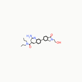 CCCN(CCC)C(=O)C1=Cc2ccc(-c3ccc4c(c3)CN(CCO)C4=O)cc2N=C(N)C1